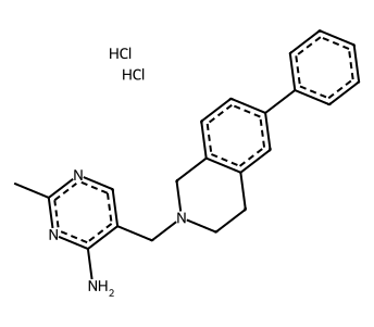 Cc1ncc(CN2CCc3cc(-c4ccccc4)ccc3C2)c(N)n1.Cl.Cl